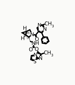 Cc1ncc(C(=O)N2C[C@@H]3C[C@@H]3[C@H]2CNC(=O)Oc2c(C)nc3sccn23)c(-c2ccccc2)n1